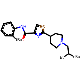 CCCCC(CC)CN1CCC(c2nc(C(=O)Nc3ccccc3C(C)(C)C)cs2)CC1